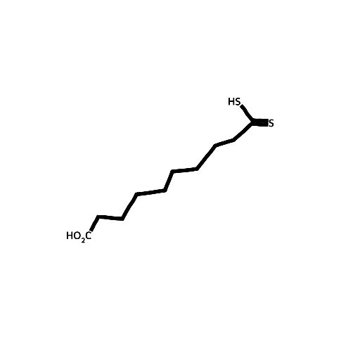 O=C(O)CCCCCCCCC(=S)S